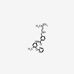 Cc1ccc(NC(=O)c2cccc(CNCCN(C)C)c2)cc1Oc1ncccn1